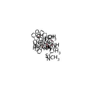 Cc1ncsc1-c1ccc([C@H](C)NC(=O)[C@@H]2C[C@@H](O)CN2C(=O)[C@@H](NC(=O)C[C@@H](C)Cc2ccc(Oc3cccc(-c4ccc(N5CCc6cccc(C(=O)Nc7nc8ccccc8s7)c6C5)nc4C(=O)O)c3C)cc2)C(C)(C)C)cc1